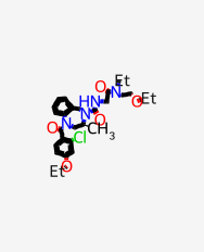 CCOCCN(CC)C(=O)CNC(=O)N1Cc2ccccc2N(C(=O)c2ccc(OCC)cc2Cl)C[C@H]1C